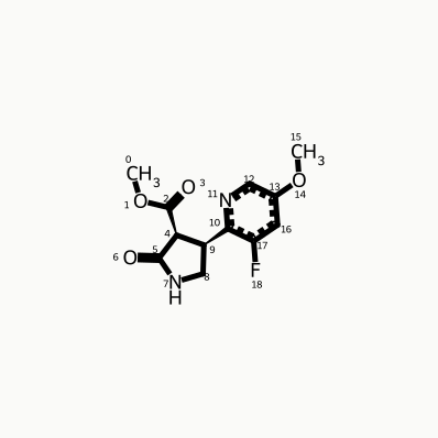 COC(=O)[C@@H]1C(=O)NC[C@@H]1c1ncc(OC)cc1F